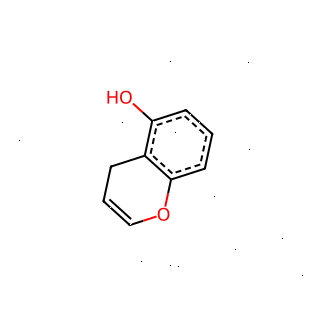 Oc1cccc2c1CC=CO2